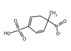 CC1([N+](=O)[O-])C=CC(S(=O)(=O)O)=CC1